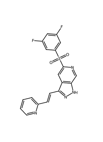 O=S(=O)(c1cc(F)cc(F)c1)c1cc2c(C=Cc3ccccn3)n[nH]c2cn1